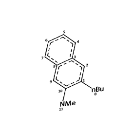 CCCCc1cc2ccccc2cc1NC